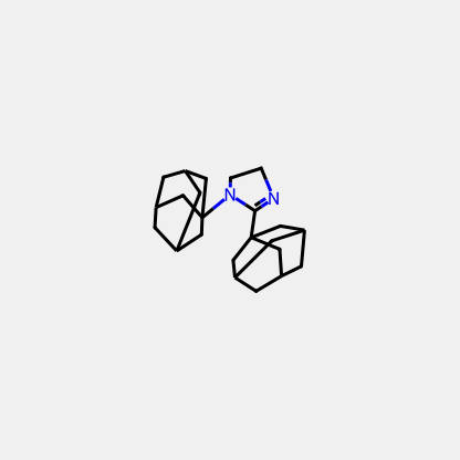 C1CN(C23CC4CC(CC(C4)C2)C3)C(C23CC4CC(CC(C4)C2)C3)=N1